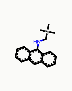 C[Si](C)(C)CNc1c2ccccc2cc2ccccc12